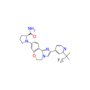 CC(C)(c1cc(-c2cn3c(n2)-c2ccc(N4CCC[C@H]4C(N)=O)cc2OCC3)ccn1)C(F)(F)F